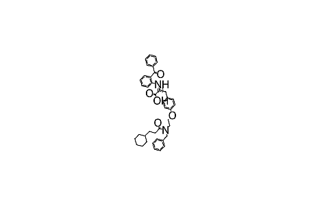 O=C(c1ccccc1)c1ccccc1N[C@@H](Cc1ccc(OCCN(Cc2ccccc2)C(=O)CCC2CCCCC2)cc1)C(=O)O